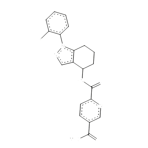 COC(=O)c1ccc(C(=O)NC2CCCc3c2cnn3-c2ccccc2I)nc1